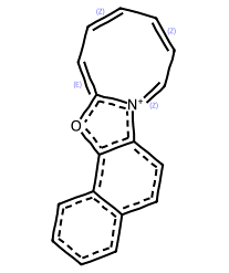 C1=C\C=[n+]2/c(oc3c4ccccc4ccc32)=C\C=C/1